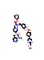 CC(C)OCc1ncc(-c2ccc(S(=O)(=O)Nc3cc(F)c(C(=O)N[C@@H](Cc4ccc(-n5c(=O)c6ccncc6n(C)c5=O)cn4)C(=O)OC4CCCCC4)cc3F)cc2)cn1